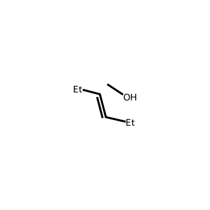 CC/C=C/CC.CO